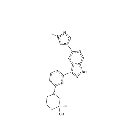 Cn1cc(-c2cc3c(-c4cccc(N5CCC[C@](C)(O)C5)n4)n[nH]c3cn2)cn1